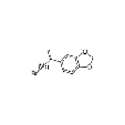 C=[C]([Mg][Br])c1ccc2c(c1)OCO2